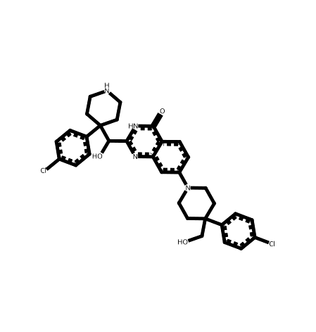 O=c1[nH]c(C(O)C2(c3ccc(Cl)cc3)CCNCC2)nc2cc(N3CCC(CO)(c4ccc(Cl)cc4)CC3)ccc12